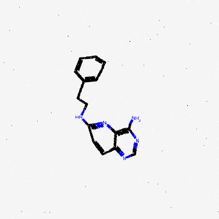 Nc1ncnc2ccc(NCCc3ccccc3)nc12